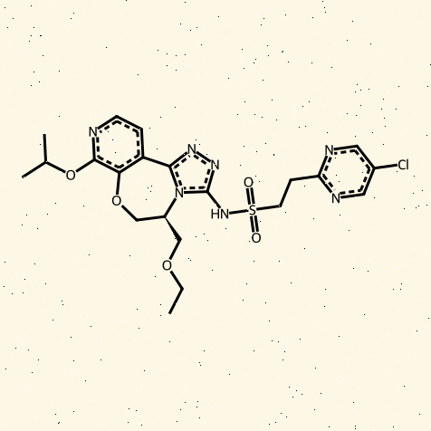 CCOC[C@H]1COc2c(ccnc2OC(C)C)-c2nnc(NS(=O)(=O)CCc3ncc(Cl)cn3)n21